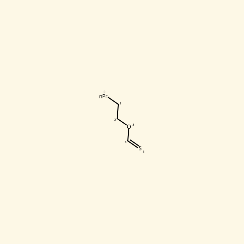 CCCCCOC=S